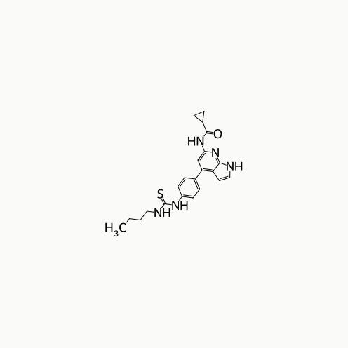 CCCCNC(=S)Nc1ccc(-c2cc(NC(=O)C3CC3)nc3[nH]ccc23)cc1